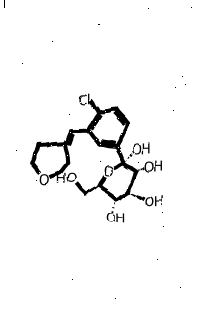 OC[C@H]1O[C@@](O)(c2ccc(Cl)c(C=C3CCOCC3)c2)[C@H](O)[C@@H](O)[C@@H]1O